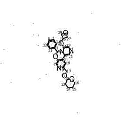 c1ccc(COc2cnc(COC3CCCCO3)cc2-c2cncc(OC3COC3)n2)cc1